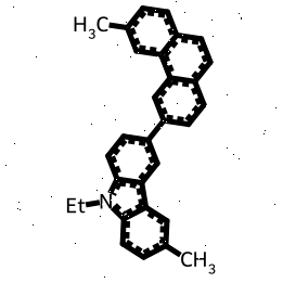 CCn1c2ccc(C)cc2c2cc(-c3ccc4ccc5ccc(C)cc5c4c3)ccc21